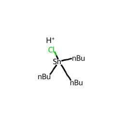 CCC[CH2][Sn]([Cl])([CH2]CCC)[CH2]CCC.[H+]